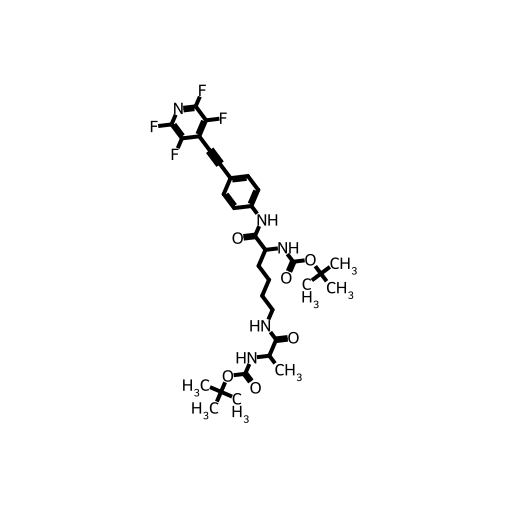 CC(NC(=O)OC(C)(C)C)C(=O)NCCCCC(NC(=O)OC(C)(C)C)C(=O)Nc1ccc(C#Cc2c(F)c(F)nc(F)c2F)cc1